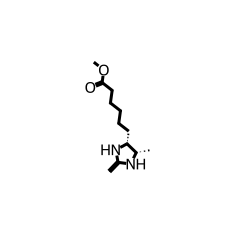 C=C1N[C@@H](C)[C@@H](CCCCCC(=O)OC)N1